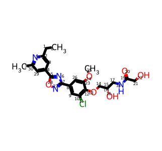 CCc1cc(-c2nc(-c3cc(Cl)c(OC[C@@H](O)CNC(=O)CO)c(OC)c3)no2)cc(C)n1